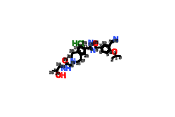 CC(C)Oc1ccc(-c2nc(-c3ccc4c(c3)CCN(CC(=O)NC[C@H](C)O)CC4)no2)cc1C#N.Cl